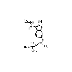 CN(CCC(C)(C)C)Cc1ccc2c(C(=O)NC3CC3)c(N)[nH]c2c1